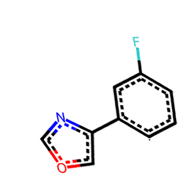 Fc1cc[c]c(-c2cocn2)c1